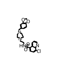 O=S(=O)(NCCN1CCN(Cc2ccc3c(c2)OCO3)CC1)c1ccc(Cl)c2ncccc12